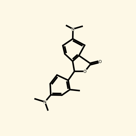 Cc1cc(N(C)C)ccc1C1OC(=O)c2cc(N(C)C)ccc21